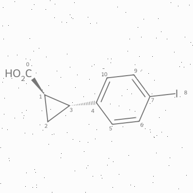 O=C(O)[C@@H]1C[C@H]1c1ccc(I)cc1